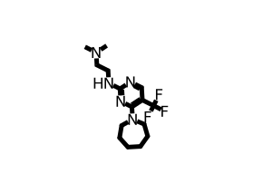 CN(C)CCNc1ncc(C(F)(F)F)c(N2CCCCCC2)n1